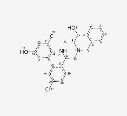 CC(CO)N(Cc1ccccc1)CC(Nc1ccc(O)cc1Cl)c1ccc(Cl)cc1